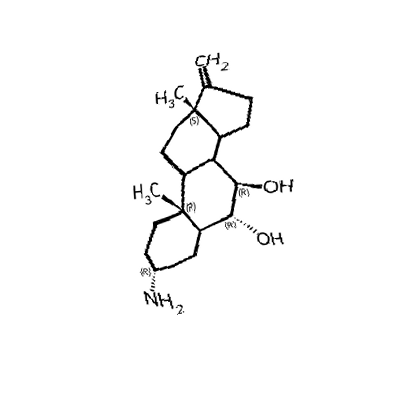 C=C1CCC2C3C(CC[C@]12C)[C@@]1(C)CC[C@@H](N)CC1[C@@H](O)[C@@H]3O